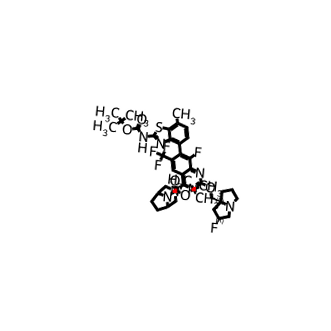 Cc1ccc(-c2c(C(F)(F)F)cc3c(N4CC5CCC(C4)N5C(=O)OC(C)(C)C)nc(OC[C@@]45CCCN4C[C@H](F)C5)nc3c2F)c2nc(NC(=O)OC(C)(C)C)sc12